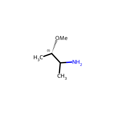 CO[C@@H](C)C(C)N